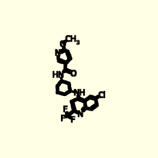 COc1ccc(C(=O)N[C@@H]2CCC[C@H](Nc3cc(C(F)(F)F)nc4ccc(Cl)cc34)C2)cn1